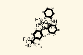 N=S(=O)(OS(=O)(=O)NC1CCCCC1)N(c1ccc(C(O)(C(F)(F)F)C(F)(F)F)cc1)C1CCCCC1